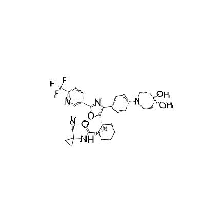 N#CC1(NC(=O)[C@@H]2CCCC[C@H]2c2oc(-c3ccc(C(F)(F)F)nc3)nc2-c2ccc(N3CCS(O)(O)CC3)cc2)CC1